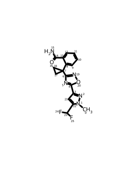 Cn1nc(-c2nc(C3(c4ccccc4C(N)=O)CC3)no2)cc1C(F)F